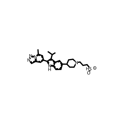 Cc1cc(-c2[nH]c3ccc(C4CCN(CCC[SH](=O)=O)CC4)cc3c2C(C)C)cc2cnnn12